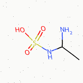 CC(N)NS(=O)(=O)O